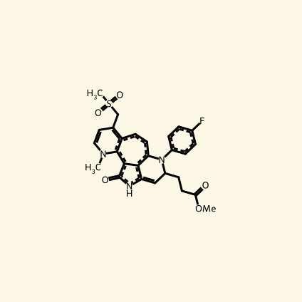 COC(=O)CCC1C=c2[nH]c(=O)c3c4c(ccc(c2-3)N1c1ccc(F)cc1)=C(CS(C)(=O)=O)C=CN4C